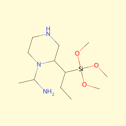 CCC(C1CNCCN1C(C)N)[Si](OC)(OC)OC